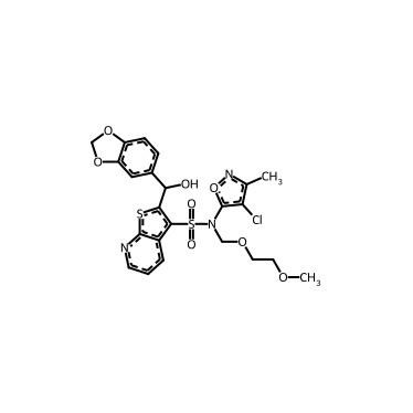 COCCOCN(c1onc(C)c1Cl)S(=O)(=O)c1c(C(O)c2ccc3c(c2)OCO3)sc2ncccc12